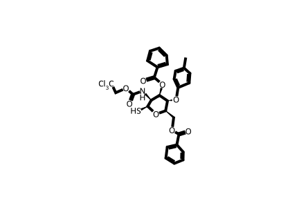 Cc1ccc(O[C@H]2[C@H](OC(=O)c3ccccc3)[C@H](NC(=O)OCC(Cl)(Cl)Cl)[C@H](S)O[C@@H]2COC(=O)c2ccccc2)cc1